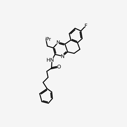 CC(C)Cc1nc2c(nc1NC(=O)CCCc1ccccc1)CCc1cc(F)ccc1-2